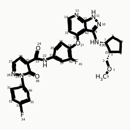 COC[C@H]1CCC[C@H]1Nc1n[nH]c2nccc(Oc3ccc(NC(=O)c4ccnn(-c5ccc(F)cc5)c4=O)cc3F)c12